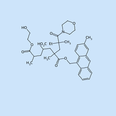 CCC(C)(CC(C)(CC(CC(C)C(=O)OCCO)C(=O)O)C(=O)OCc1c2ccccc2cc2cc(C)ccc12)C(=O)N1CCOCC1